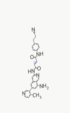 Cc1ccncc1-c1cc(N)c2cnc(NC(=O)/C=C/C(=O)Nc3ccc(CCC#N)cc3)cc2c1